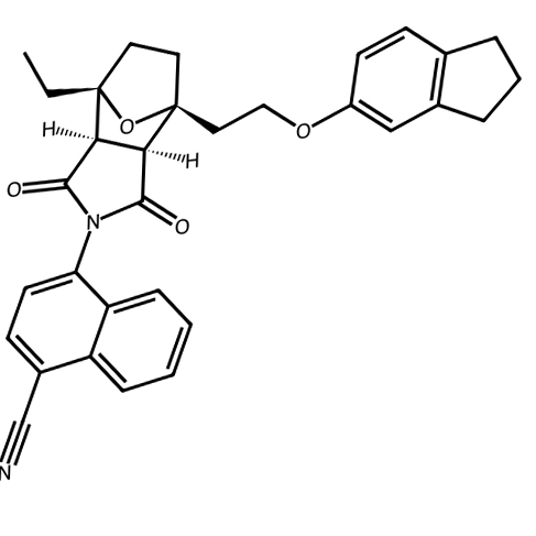 CC[C@@]12CC[C@@](CCOc3ccc4c(c3)CCC4)(O1)[C@H]1C(=O)N(c3ccc(C#N)c4ccccc34)C(=O)[C@H]12